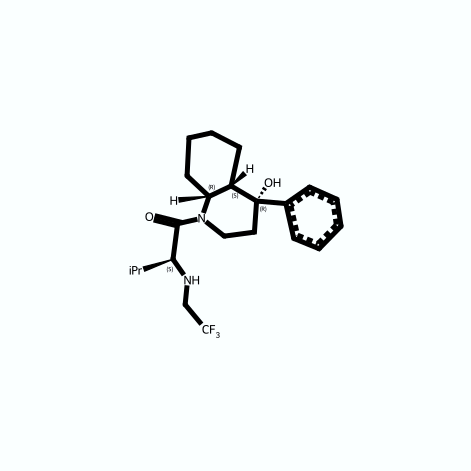 CC(C)[C@H](NCC(F)(F)F)C(=O)N1CC[C@](O)(c2ccccc2)[C@H]2CCCC[C@H]21